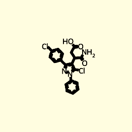 NC(=O)C(CC(=O)O)c1c(-c2ccc(Cl)cc2)nn(-c2ccccc2)c1Cl